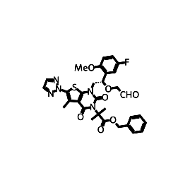 COc1ccc(F)cc1[C@@H](Cn1c(=O)n(C(C)(C)C(=O)OCc2ccccc2)c(=O)c2c(C)c(-n3nccn3)sc21)OCC=O